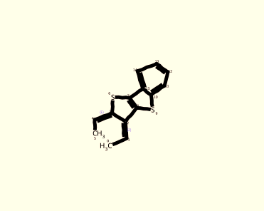 C/C=c1\c(=C/C)sc2c1sc1ccccc12